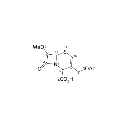 COC1C(=O)N2C(C(=O)O)C(COC(C)=O)=CSC12